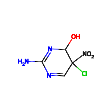 NC1=NC(O)C(Cl)([N+](=O)[O-])C=N1